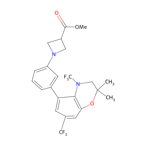 COC(=O)C1CN(c2cccc(-c3cc(C(F)(F)F)cc4c3N(C(F)(F)F)CC(C)(C)O4)c2)C1